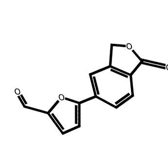 O=Cc1ccc(-c2ccc3c(c2)COC3=O)o1